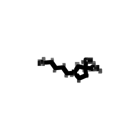 CC(C)CCCCN1CCC(C)(C)C1